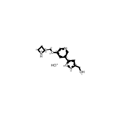 Cl.OCc1cc(-c2cncc(OC[C@@H]3CCN3)c2)on1